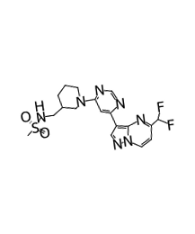 CS(=O)(=O)NCC1CCCN(c2cc(-c3cnn4ccc(C(F)F)nc34)ncn2)C1